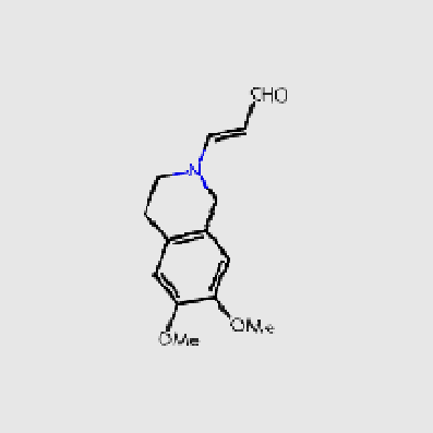 COc1cc2c(cc1OC)CN(C=CC=O)CC2